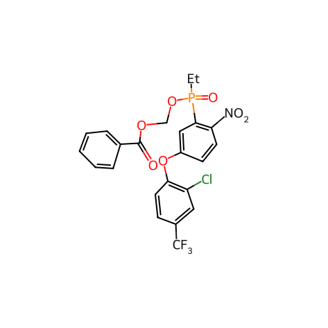 CCP(=O)(OCOC(=O)c1ccccc1)c1cc(Oc2ccc(C(F)(F)F)cc2Cl)ccc1[N+](=O)[O-]